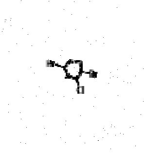 Clc1[c]c(Br)ccc1Br